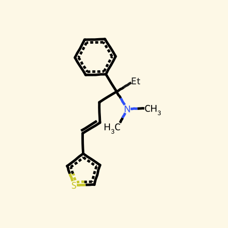 CCC(CC=Cc1ccsc1)(c1ccccc1)N(C)C